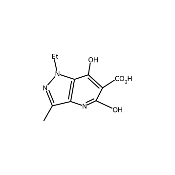 CCn1nc(C)c2nc(O)c(C(=O)O)c(O)c21